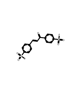 O=C(C=Cc1ccc(S(=O)(=O)F)cc1)c1ccc(S(=O)(=O)F)cc1